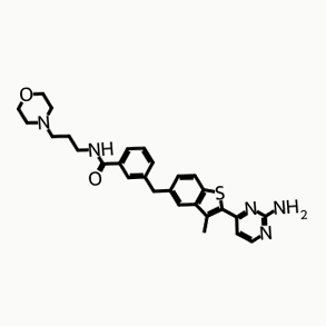 Cc1c(-c2ccnc(N)n2)sc2ccc(Cc3cccc(C(=O)NCCCN4CCOCC4)c3)cc12